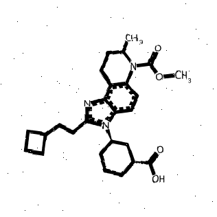 COC(=O)N1c2ccc3c(nc(CCC4CCC4)n3[C@@H]3CCC[C@H](C(=O)O)C3)c2CCC1C